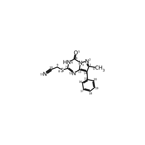 Cc1nn2c(=O)[nH]c(SCC#N)nc2c1-c1ccccc1